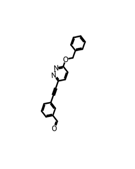 O=Cc1cccc(C#Cc2ccc(OCc3ccccc3)nn2)c1